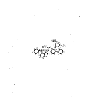 CCCC1=Cc2c(ccc(-c3ccccc3)c2-c2cc(C(C)(C)C)cc(C(C)(C)C)c2)[CH]1[Zr]([Cl])([Cl])[c]1cccc2c1[SiH2]c1ccccc1-2